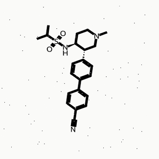 CC(C)S(=O)(=O)N[C@H]1CCN(C)C[C@@H]1c1ccc(-c2ccc(C#N)cc2)cc1